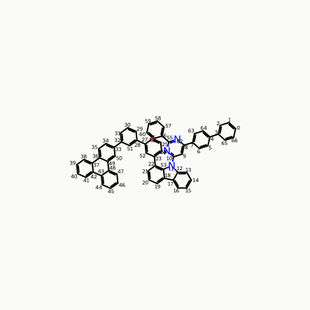 c1ccc(-c2ccc(-c3cc(-n4c5ccccc5c5cccc(-c6cccc(-c7cccc(-c8ccc9c%10ccccc%10c%10ccccc%10c9c8)c7)c6)c54)nc(-c4ccccc4)n3)cc2)cc1